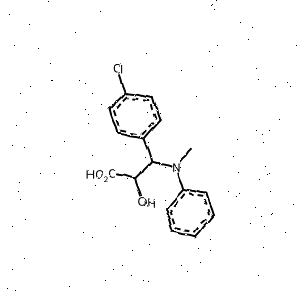 CN(c1ccccc1)C(c1ccc(Cl)cc1)C(O)C(=O)O